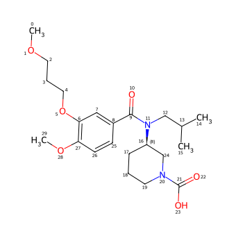 COCCCOc1cc(C(=O)N(CC(C)C)[C@@H]2CCCN(C(=O)O)C2)ccc1OC